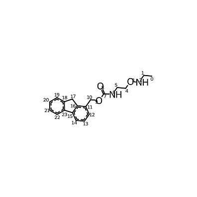 CCNOCCNC(=O)OCc1cccc2c1Cc1ccccc1-2